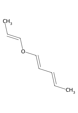 CC=CC=COC=CC